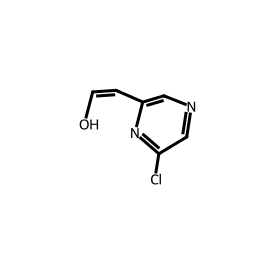 O/C=C\c1cncc(Cl)n1